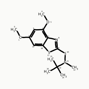 COc1cc(OC)c2nc(SN(C)C(C)(C)C)sc2c1